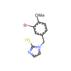 COc1ccc(Cn2ccnc2S)cc1Br